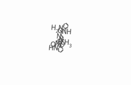 Cn1cc(C(=O)Nc2ccccc2N)nc1CN1C(=O)Nc2ccccc2S1(=O)=O